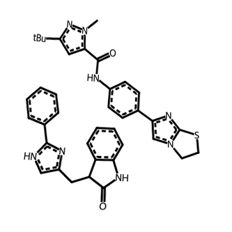 Cn1nc(C(C)(C)C)cc1C(=O)Nc1ccc(-c2cn3c(n2)SCC3)cc1.O=C1Nc2ccccc2C1Cc1c[nH]c(-c2ccccc2)n1